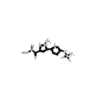 CCCCCCCCCCN(CC)C(=O)c1cc(-c2ccc(OS(=O)(=O)C(F)(F)F)cn2)n(C)n1